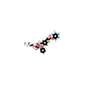 C[C@H](NP(=O)(Oc1ccccc1)C(F)c1ccc2sc(C(=O)Oc3c(F)c(F)c(F)c(F)c3F)cc2c1)C(=O)OCCC(F)(F)F